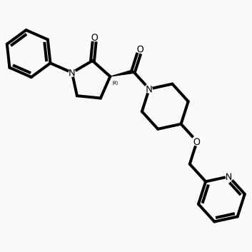 O=C([C@H]1CCN(c2ccccc2)C1=O)N1CCC(OCc2ccccn2)CC1